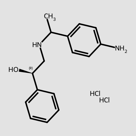 CC(NC[C@H](O)c1ccccc1)c1ccc(N)cc1.Cl.Cl